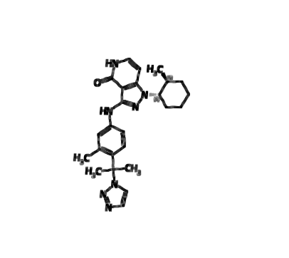 Cc1cc(Nc2nn([C@H]3CCCC[C@@H]3C)c3cc[nH]c(=O)c23)ccc1C(C)(C)n1ccnn1